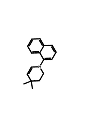 CC1(C)C=CN(c2cccc3ccccc23)CC1